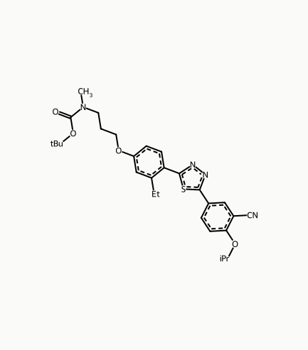 CCc1cc(OCCCN(C)C(=O)OC(C)(C)C)ccc1-c1nnc(-c2ccc(OC(C)C)c(C#N)c2)s1